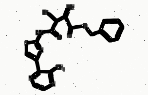 CCC(C(=N)C(=O)OCc1ccccc1)C(=O)Nc1nc(-c2nccnc2C)cs1